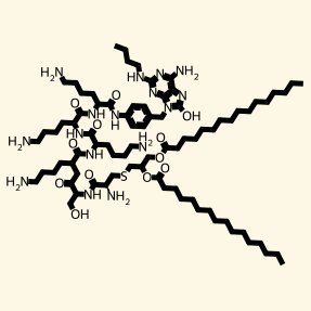 CCCCCCCCCCCCCCCC(=O)OCC(CSC[C@H](N)C(=O)NC(CO)C(=O)CC(CCCCN)C(=O)NC(CCCCN)C(=O)NC(CCCCN)C(=O)NC(CCCCN)C(=O)Nc1ccc(Cn2c(O)nc3c(N)nc(NCCCC)nc32)cc1)OC(=O)CCCCCCCCCCCCCCC